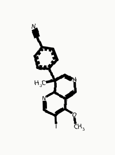 COC1=C(I)C=NC2C1=CN=CC2(C)c1ccc(C#N)cc1